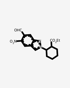 CCOC(=O)C1CCCCC1n1cc2cc([N+](=O)[O-])c(C=O)cc2n1